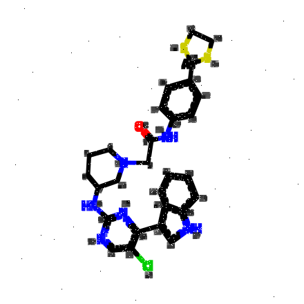 O=C(CN1CCCC(Nc2ncc(Cl)c(-c3c[nH]c4ccccc34)n2)C1)Nc1ccc([As]2SCCS2)cc1